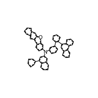 c1ccc(-c2cc(N(c3cccc(-c4ccccc4-c4cc5ccccc5c5ccccc45)c3)c3ccc4c(c3)oc3cc5ccccc5cc34)cc3ccccc23)cc1